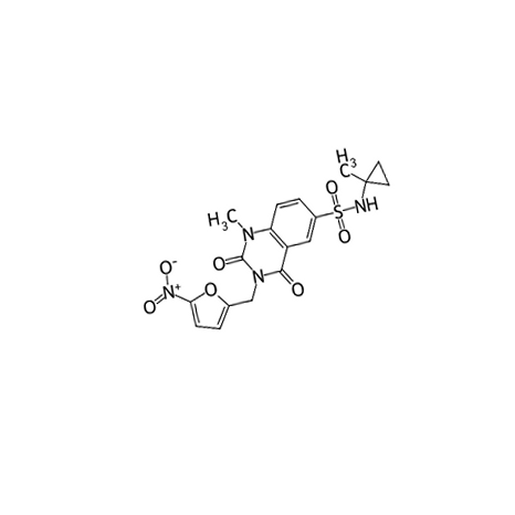 Cn1c(=O)n(Cc2ccc([N+](=O)[O-])o2)c(=O)c2cc(S(=O)(=O)NC3(C)CC3)ccc21